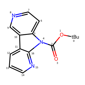 CC(C)(C)OC(=O)n1c2ccncc2c2cccnc21